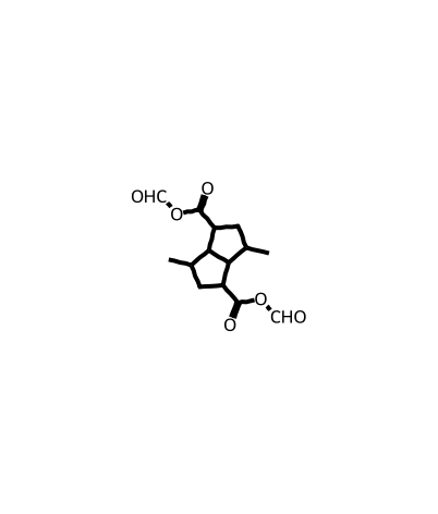 CC1CC(C(=O)OC=O)C2C(C)CC(C(=O)OC=O)C12